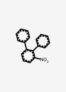 O=[N+]([O-])c1cccc(-c2ccccc2)c1-c1ccccc1